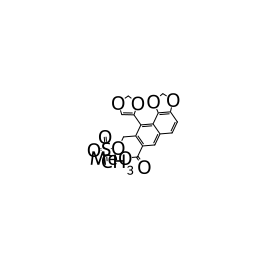 COC(=O)c1cc2ccc3c(c2c(C2=COCO2)c1COS(C)(=O)=O)OCO3